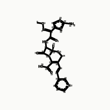 CON=C(C(=O)NC1C(=O)N2C(C(=O)O)=C(C=Cc3cccnc3)CS[C@@H]12)c1csc(N)n1